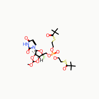 COC1O[C@H]2[C@@](C)(O1)[C@H](n1ccc(=O)[nH]c1=O)O[C@]2(F)COP(=O)(OCCSC(=O)C(C)(C)C)OCCSC(=O)C(C)(C)C